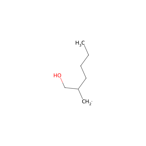 [CH2]C(CO)CCCC